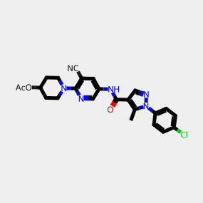 CC(=O)OC1CCN(c2ncc(NC(=O)c3cnn(-c4ccc(Cl)cc4)c3C)cc2C#N)CC1